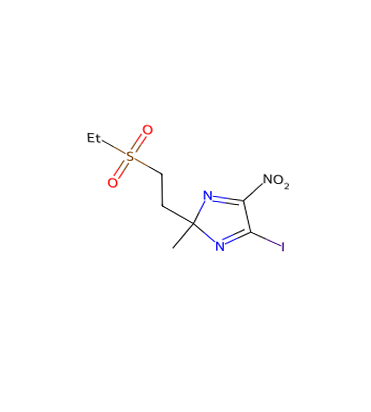 CCS(=O)(=O)CCC1(C)N=C(I)C([N+](=O)[O-])=N1